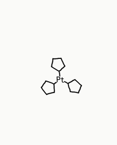 C1CC[CH]([Pt]([CH]2CCCC2)[CH]2CCCC2)C1